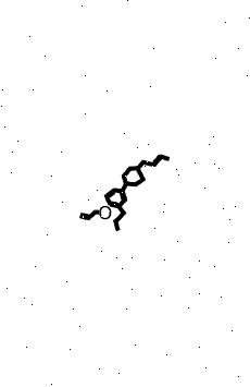 C=CCOc1ccc(C2CCC(C/C=C/C)CC2)cc1CCC